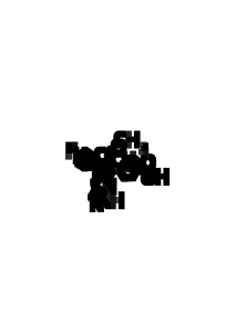 COCC(C)(C)c1c([C@H]2CCC(C(=O)O)OC2)c2nc3[nH]ncc3cc2n1-c1ccc(F)cc1